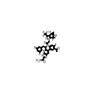 CC(=O)c1cc(-c2cc3sc(C(N)=O)nc3nc2C(Cc2cc(F)cc(F)c2)NC(=O)Cn2nc(C(F)(F)F)c3c2C(F)(F)[C@@H]2C[C@H]32)ccc1F